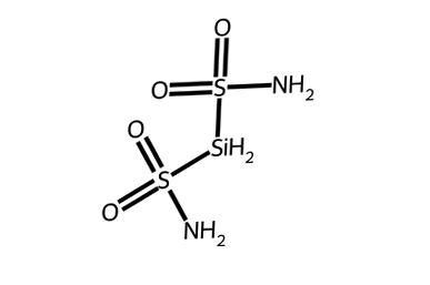 NS(=O)(=O)[SiH2]S(N)(=O)=O